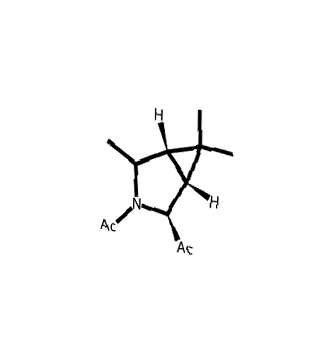 CC(=O)[C@@H]1[C@@H]2[C@H](C(C)N1C(C)=O)C2(C)C